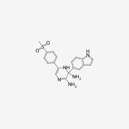 CS(=O)(=O)c1ccc(C2=CN=C(N)C(N)(c3ccc4[nH]ccc4c3)N2)cc1